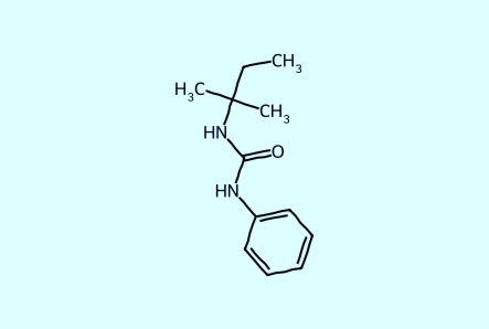 CCC(C)(C)NC(=O)Nc1ccccc1